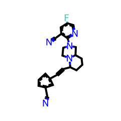 N#Cc1cccc(C#CC2CCCC3CN(c4ncc(F)cc4C#N)CCN23)c1